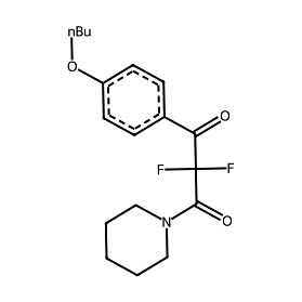 CCCCOc1ccc(C(=O)C(F)(F)C(=O)N2CCCCC2)cc1